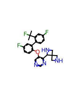 CC(C)(F)c1cc(F)ccc1-c1cc(F)ccc1Oc1cncnc1C1NCC12CNC2